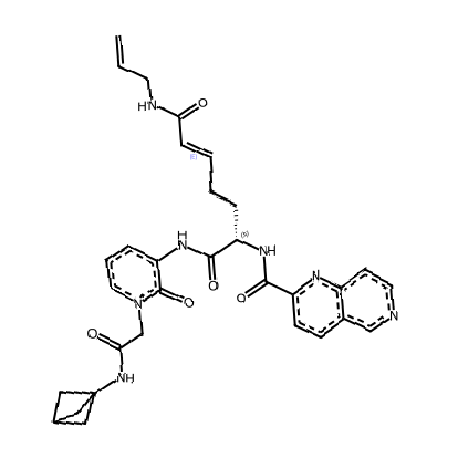 C=CCNC(=O)/C=C/CC[C@H](NC(=O)c1ccc2cnccc2n1)C(=O)Nc1cccn(CC(=O)NC23CC(C2)C3)c1=O